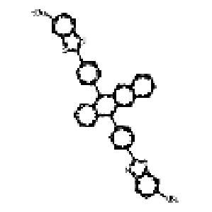 CC(C)(C)c1ccc2nc(-c3ccc(-c4c5ccccc5c(-c5ccc(-c6nc7ccc(C(C)(C)C)cc7s6)cc5)c5cc6ccccc6cc45)cc3)sc2c1